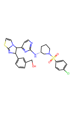 O=S(=O)(c1ccc(Cl)cc1)N1CCC[C@@H](Nc2nccc(C3C(c4cccc(CO)c4)N=C4SC=CN43)n2)C1